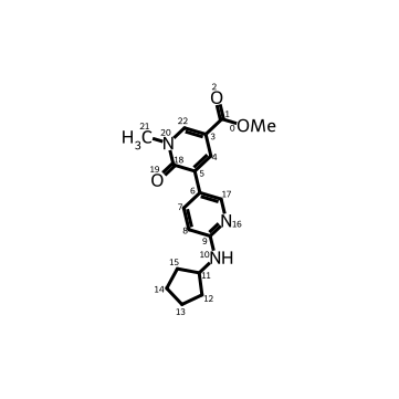 COC(=O)c1cc(-c2ccc(NC3CCCC3)nc2)c(=O)n(C)c1